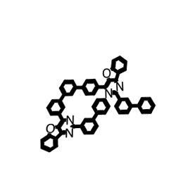 c1ccc(-c2cccc(-c3nc(-c4ccc(-c5cccc(-c6cccc(-c7nc(-c8cccc(-c9ccccc9)c8)nc8c7oc7ccccc78)c6)c5)cc4)c4oc5ccccc5c4n3)c2)cc1